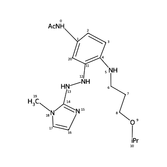 CC(=O)Nc1ccc(NCCCOC(C)C)c(NNc2nccn2C)c1